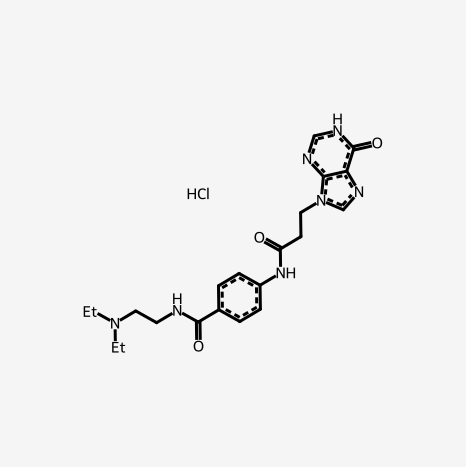 CCN(CC)CCNC(=O)c1ccc(NC(=O)CCn2cnc3c(=O)[nH]cnc32)cc1.Cl